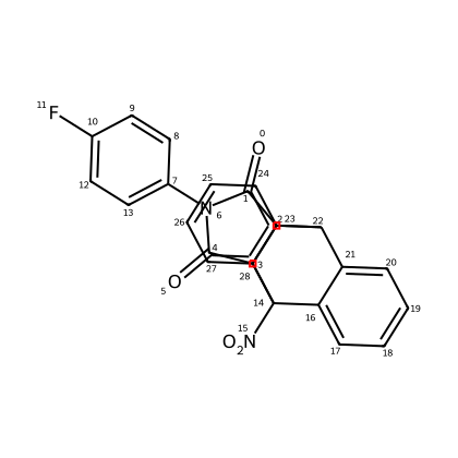 O=C1C2=C(C(=O)N1c1ccc(F)cc1)C1([N+](=O)[O-])c3ccccc3C2c2ccccc21